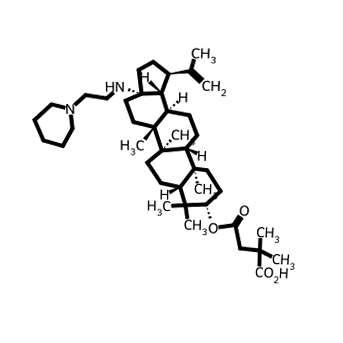 C=C(C)[C@@H]1CC[C@]2(NCCN3CCCCC3)CC[C@]3(C)[C@H](CC[C@@H]4[C@@]5(C)CC[C@H](OC(=O)CC(C)(C)C(=O)O)C(C)(C)[C@@H]5CC[C@]43C)[C@@H]12